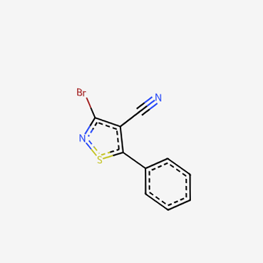 N#Cc1c(Br)nsc1-c1ccccc1